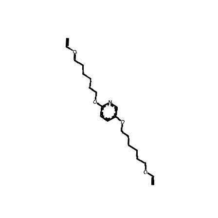 C=COCCCCCCOc1ccc(OCCCCCCOC=C)nc1